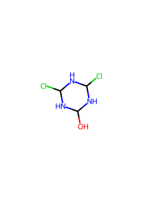 OC1NC(Cl)NC(Cl)N1